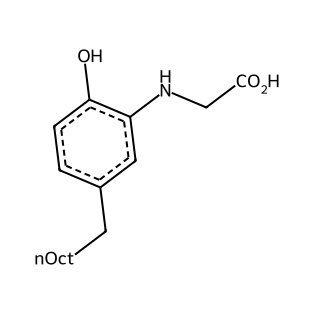 CCCCCCCCCc1ccc(O)c(NCC(=O)O)c1